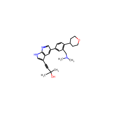 CN(C)Cc1cc(-c2cnc3[nH]cc(C#CC(C)(C)O)c3c2)ccc1C1CCOCC1